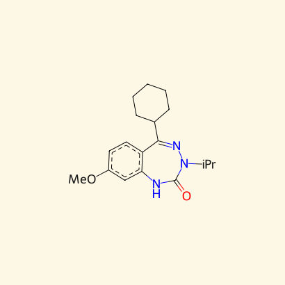 COc1ccc2c(c1)NC(=O)N(C(C)C)N=C2C1CCCCC1